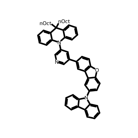 CCCCCCCCC1(CCCCCCCC)c2ccccc2N(c2cncc(-c3ccc4oc5ccc(-n6c7ccccc7c7ccccc76)cc5c4c3)c2)c2ccccc21